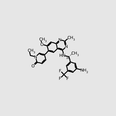 CCn1cc(-c2cc3c(N[C@H](C)c4cc(N)cc(C(F)(F)F)c4)nc(C)nc3cc2OC)ccc1=O